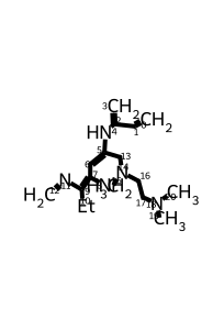 C=CC(=C)N/C(=C/C(N)=C(/CC)N=C)CN(C)CCN(C)C